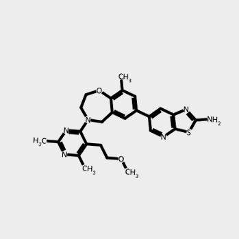 COCCc1c(C)nc(C)nc1N1CCOc2c(C)cc(-c3cnc4sc(N)nc4c3)cc2C1